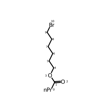 CCCC(=O)OCCCCCCBr